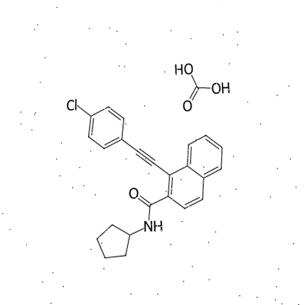 O=C(NC1CCCC1)c1ccc2ccccc2c1C#Cc1ccc(Cl)cc1.O=C(O)O